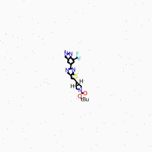 Cn1cc2cc(-c3ncc4cc(C5[C@H]6CN(C(=O)OC(C)(C)C)C[C@@H]56)sc4n3)cc(C(F)F)c2n1